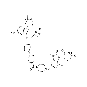 COc1ccc([C@]2(CCN(Cc3ccc(C4=CC[C@H](C(=O)N5CCN(Cc6cc(F)c7c(c6)n(C)c(=O)n7C6CCC(=O)NC6=O)CC5)CC4)cc3)CC(C)(C)C(F)(F)F)CCOC(C)(C)C2)cc1